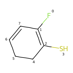 FC1=C(S)CCC=C1